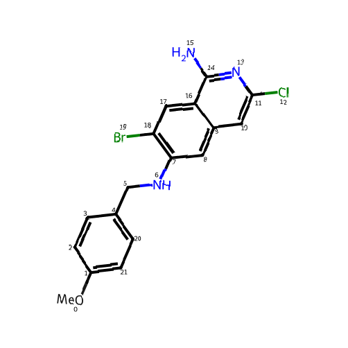 COc1ccc(CNc2cc3cc(Cl)nc(N)c3cc2Br)cc1